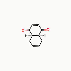 O=C1C=CC(=O)[C@@H]2CC=CC[C@H]12